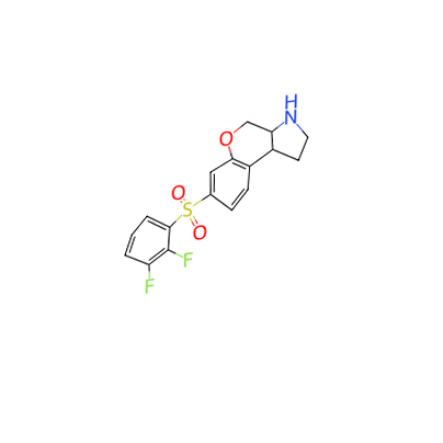 O=S(=O)(c1ccc2c(c1)OCC1NCCC21)c1cccc(F)c1F